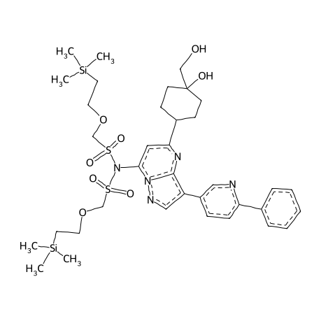 C[Si](C)(C)CCOCS(=O)(=O)N(c1cc(C2CCC(O)(CO)CC2)nc2c(-c3ccc(-c4ccccc4)nc3)cnn12)S(=O)(=O)COCC[Si](C)(C)C